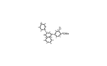 COc1ccc(-c2cc(-c3ccncc3)nc3ccccc23)cc1Cl